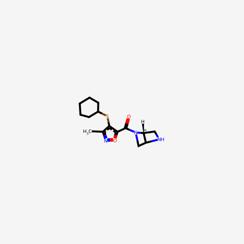 Cc1noc(C(=O)N2CC3NC[C@H]32)c1SC1CCCCC1